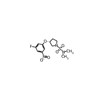 CN(C)S(=O)(=O)N1CC[C@@H](Oc2cc(F)cc([N+](=O)[O-])c2)C1